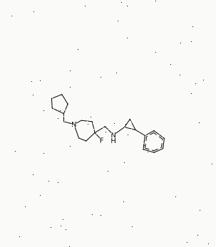 FC1(CNC2CC2c2ccccc2)CCN(CC2CCCC2)CC1